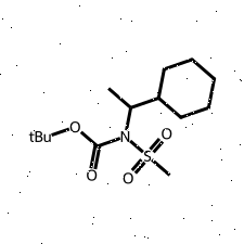 CC(C1CCCCC1)N(C(=O)OC(C)(C)C)S(C)(=O)=O